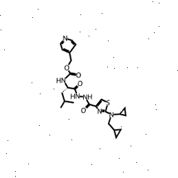 CC(C)C[C@H](NC(=O)OCc1ccncc1)C(=O)NNC(=O)c1csc(N(CC2CC2)C2CC2)n1